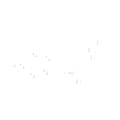 CO[C@H]1[C@@H](OP(=O)(S)C(C)(C)C)[C@@H](C2CC2P(=O)(O)O)O[C@H]1n1cnc2c(N)ncnc21